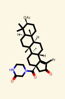 CC(=O)O[C@H]1CC[C@]2(C)[C@H]3CC[C@@H]4C5=C(C(C)C)C(=O)C[C@]5(C(=O)N5CCNC(=O)C5)CC[C@@]4(C)[C@]3(C)CC[C@H]2C1(C)C